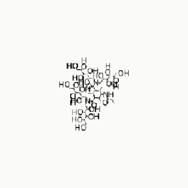 CCC(=O)Nc1c(C)c(C(=O)N(CC(O)C(O)C(O)C(O)CO)CC(O)C(O)C(O)C(O)CO)c(C)c(C(=O)N(CC(O)C(O)C(O)C(O)CO)CC(O)C(O)C(O)C(O)CO)c1C